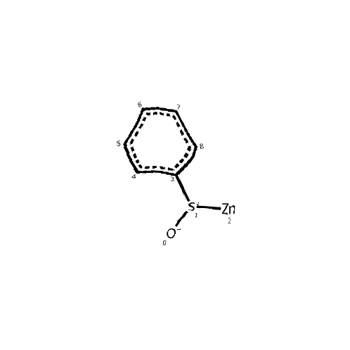 [O-][S+]([Zn])c1ccccc1